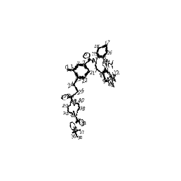 Cc1cc(C(=O)N2Cc3cnn(C)c3Nc3ccccc32)ccc1CCC(=O)N1CCN(C(=O)OC(C)(C)C)CC1